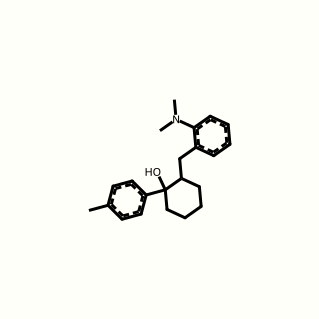 Cc1ccc(C2(O)CCCCC2Cc2ccccc2N(C)C)cc1